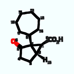 O=C(O)[C@H]1[C@H]2CCC(=O)[C@@]21C1CCCCCC1